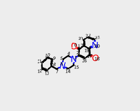 O=C1C(N2CCN(Cc3ccccc3)CC2)=CC(=O)c2ncccc21